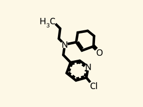 CCCN(Cc1ccc(Cl)nc1)C1=CC(=O)CCC1